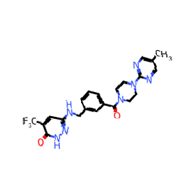 Cc1cnc(N2CCN(C(=O)c3cccc(CNc4cc(C(F)(F)F)c(=O)[nH]n4)c3)CC2)nc1